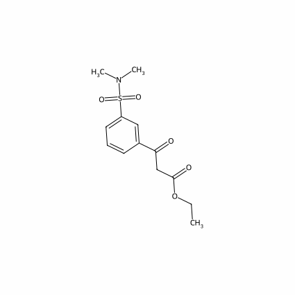 CCOC(=O)CC(=O)c1cccc(S(=O)(=O)N(C)C)c1